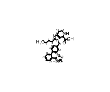 CCCCc1nc2c(n1Cc1ccc(-c3ccccc3-c3nnn[nH]3)cc1)C(C(=O)O)NCC2